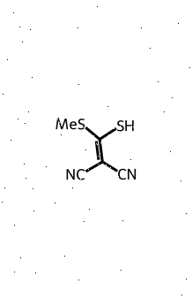 CSC(S)=C(C#N)C#N